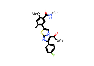 CNC(=O)c1c(-c2ccc(F)cc2)nc2sc(-c3cc(C(=O)NC(C)(C)C)c(OC)cc3C)cn12